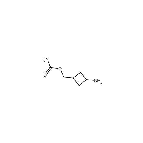 NC(=O)OCC1CC(N)C1